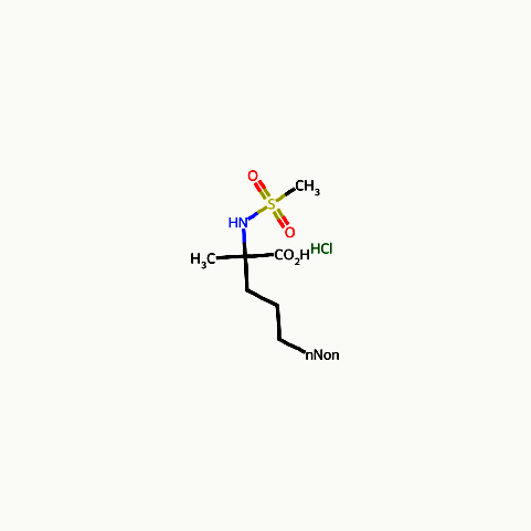 CCCCCCCCCCCCC(C)(NS(C)(=O)=O)C(=O)O.Cl